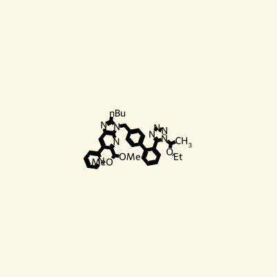 CCCCc1nc2cc(-c3ccccn3)c(C(OC)OC)nc2n1Cc1ccc(-c2ccccc2-c2nnnn2C(C)OCC)cc1